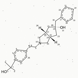 CC(C)(O)c1ccc(SCN2C[C@@H]3C[C@@](O)(Cc4ccccc4)C[C@@H]3C2)cc1